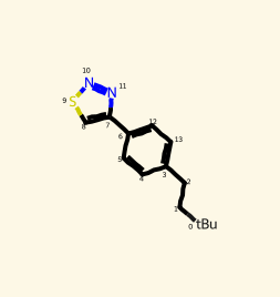 CC(C)(C)CCc1ccc(-c2csnn2)cc1